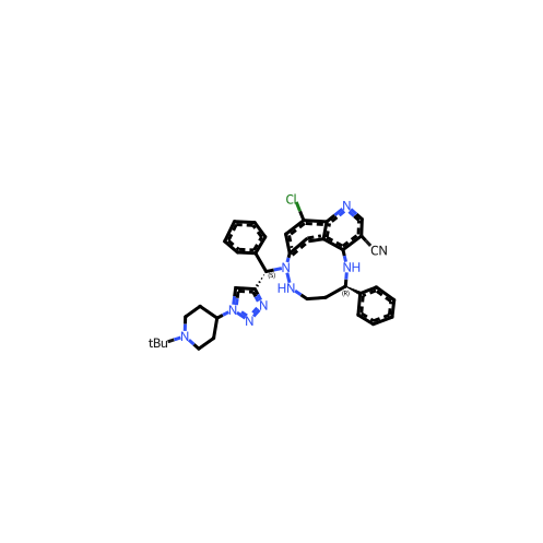 CC(C)(C)N1CCC(n2cc([C@H](c3ccccc3)N3NCC[C@H](c4ccccc4)Nc4c(C#N)cnc5c(Cl)cc3cc45)nn2)CC1